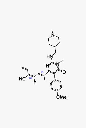 C=C/C(C#N)=C(F)\C=C(/C)c1nc(NCC2CCN(C)CC2)n(C)c(=O)c1-c1ccc(OC)cc1